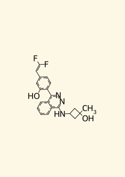 CC1(O)CC(Nc2nnc(-c3ccc(C=C(F)F)cc3O)c3ccccc23)C1